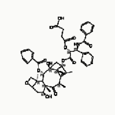 CC1=C2[C@@H](C)C(=O)[C@@]3(C)C([C@H](OC(=O)c4ccccc4)[C@]4(O)C[C@]1(OC(=O)[C@H](OC(=O)CCC(=O)O)[C@@H](NC(=O)c1ccccc1)c1ccccc1)[C@]24C)[C@]1(C)COC1C[C@@H]3O